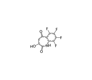 O=c1[nH]c2c(F)c(F)c(F)c(F)c2c(=O)cc1O